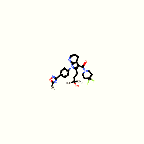 Cc1nc(-c2ccc(-n3c(CCC(C)(C)O)c(C(=O)N4CCC(F)(F)CC4)c4cccnc43)cc2)no1